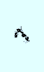 Cc1cc2[nH]nc(/C=C/c3cccc(CN4CCC(C(N)=O)CC4)c3)c2cc1NC(=O)Cc1cccs1